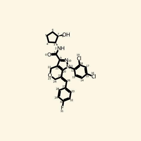 O=C(N[C@@H]1CCC[C@H]1O)c1nn(-c2ccc(Cl)cc2Cl)c2c1COC/C2=C\c1ccc(F)cc1